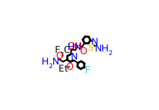 CCOc1c(CC(N)=O)cc([C@@](O)(CNC(=O)c2cccc3nc(N)sc23)C(F)(F)F)nc1-c1ccc(F)cc1